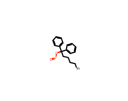 CC(C)CCCCC(OP=O)(c1ccccc1)c1ccccc1